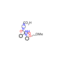 COCCCOc1ccccc1-n1c(-c2ccccc2)c(C(=O)N2CCN(C(=O)O)CC2)[nH]c1=O